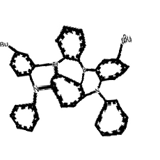 CC(C)(C)c1ccc2c(c1)B1c3ccccc3B3c4cc(C(C)(C)C)ccc4N(c4ccccc4)c4ccc(c1c43)N2c1ccccc1